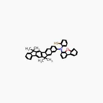 CC1(C)c2ccccc2-c2cc3c(cc21)-c1cc2ccc(N(c4ccccc4S)c4cccc5c4oc4ccccc45)cc2cc1C3(C)C